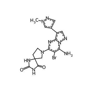 Cn1cc(-c2cnn3c(N)c(Br)c(N4CCC5(C4)NC(=O)NC5=O)nc23)cn1